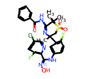 CC1(c2cc(N/C(=N\O)c3ncc(Cl)cc3F)ccc2F)CS(=O)(=O)C(C)(C)C(NC(=O)c2ccccc2)=N1